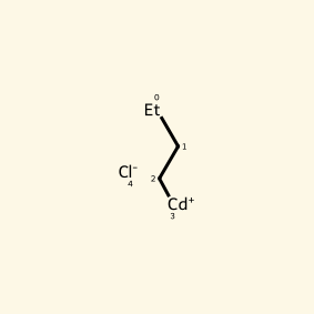 CCC[CH2][Cd+].[Cl-]